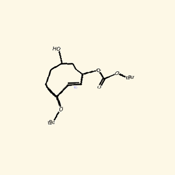 CC(C)(C)OC(=O)OC1/C=C/C(OC(C)(C)C)CCC(O)C1